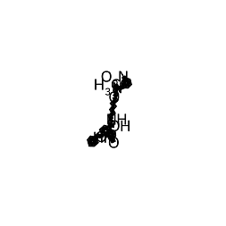 CN(CCOCCCCCCNCC(O)c1ccc(OCc2ccccc2)c2[nH]c(=O)ccc12)Cc1cccc([N+](=O)[O-])c1